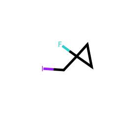 FC1(CI)CC1